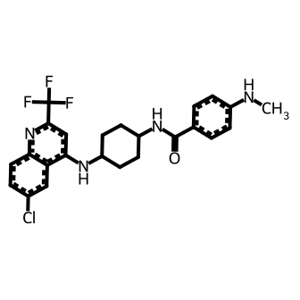 CNc1ccc(C(=O)NC2CCC(Nc3cc(C(F)(F)F)nc4ccc(Cl)cc34)CC2)cc1